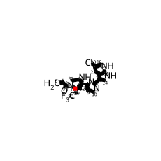 C=CC(=O)N1CC[C@@]2(c3ccnc(C4=CNC5NC=C(Cl)C=C45)n3)N[C@]2(C(=O)NCC(F)(F)F)C1